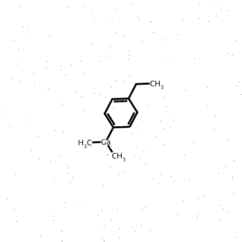 CCc1cc[c]([Ga]([CH3])[CH3])cc1